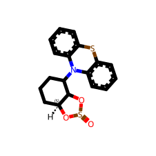 O=S1OC2C(N3c4ccccc4Sc4ccccc43)CCC[C@@H]2O1